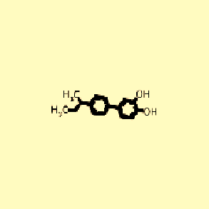 CCC(C)c1ccc(-c2ccc(O)c(O)c2)cc1